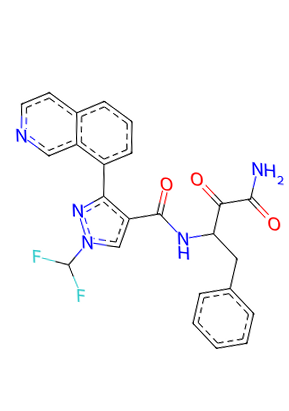 NC(=O)C(=O)C(Cc1ccccc1)NC(=O)c1cn(C(F)F)nc1-c1cccc2ccncc12